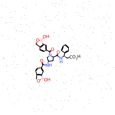 O=C(O)C[C@@H](NC(=O)C1C[C@@H](NC(=O)c2ccc3c(c2)B(O)OC3)CN1C(=O)c1ccc2c(c1)B(O)OC2)c1ccccc1